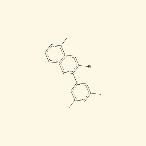 CCc1cc2c(C)cccc2nc1-c1cc(C)cc(C)c1